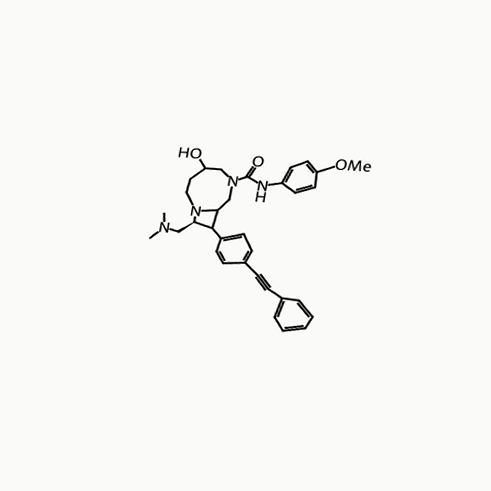 COc1ccc(NC(=O)N2CC(O)CCN3C(C2)C(c2ccc(C#Cc4ccccc4)cc2)[C@H]3CN(C)C)cc1